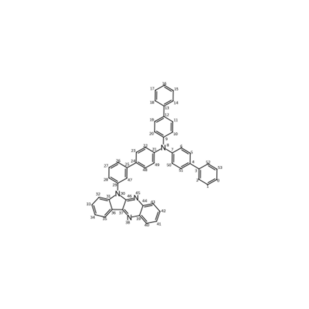 c1ccc(-c2ccc(N(c3ccc(-c4ccccc4)cc3)c3ccc(-c4cccc(-n5c6ccccc6c6nc7ccccc7nc65)c4)cc3)cc2)cc1